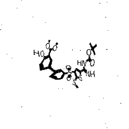 COC(OC)c1cc(-c2cccc(S(=O)(=O)c3cc(C(=N)NC(=O)OC(C)(C)C)sc3SC)c2)ccc1O